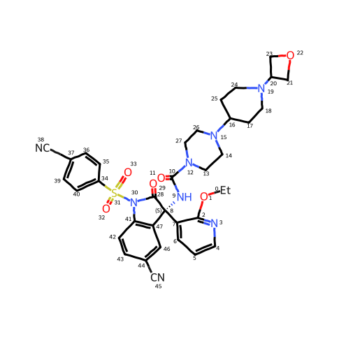 CCOc1ncccc1[C@]1(NC(=O)N2CCN(C3CCN(C4COC4)CC3)CC2)C(=O)N(S(=O)(=O)c2ccc(C#N)cc2)c2ccc(C#N)cc21